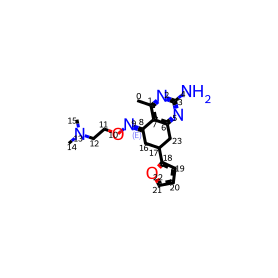 Cc1nc(N)nc2c1/C(=N/OCCN(C)C)CC(c1ccco1)C2